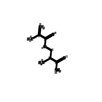 C=C(C)C(=O)OCC(N)C(N)=O